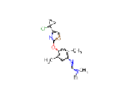 CCN(C)C=Nc1cc(C)c(Oc2nc(C3(Cl)CC3)cs2)cc1C